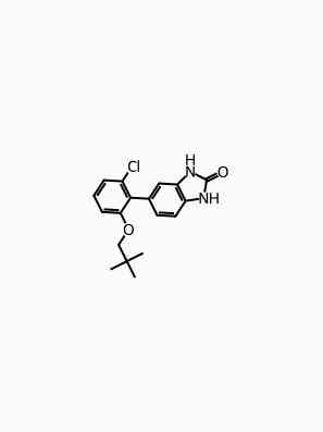 CC(C)(C)COc1cccc(Cl)c1-c1ccc2[nH]c(=O)[nH]c2c1